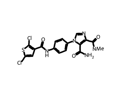 CNC(=O)c1ncn(-c2ccc(NC(=O)c3cc(Cl)sc3Cl)cc2)c1C(N)=O